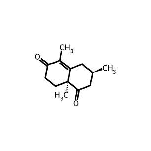 CC1=C2C[C@@H](C)CC(=O)[C@@]2(C)CCC1=O